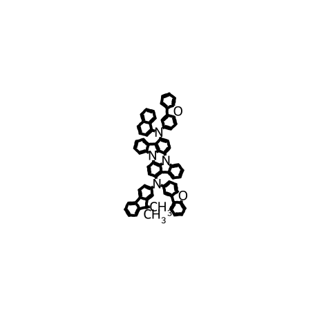 CC1(C)c2ccccc2-c2ccc(N(c3ccc4oc5ccccc5c4c3)c3ccc4c5c3c3ccccc3n5c3ccc(N(c5ccc6oc7ccccc7c6c5)c5cccc6ccccc56)c5c6ccccc6n4c53)cc21